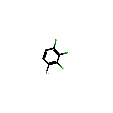 CCc1ccc(F)c(Br)c1F